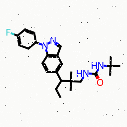 CCC(c1ccc2c(cnn2C2C=CC(F)=CC2)c1)C(C)(C)CNC(=O)NC(C)(C)C